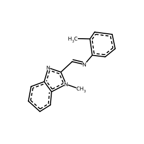 Cc1ccccc1/N=C/c1nc2ccccc2n1C